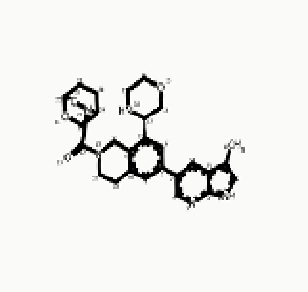 Cc1c[nH]c2ncc(-c3cc4c(c([C@@H]5COCCN5)c3)CN(C(=O)N3CC5CCC3CO5)CC4)cc12